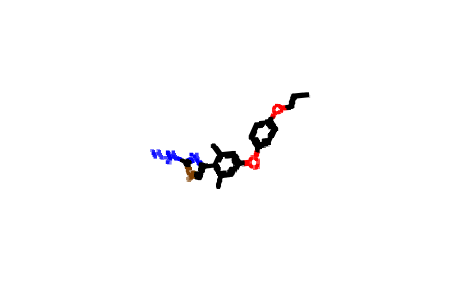 CCCOc1ccc(Oc2cc(C)c(-c3csc(N)n3)c(C)c2)cc1